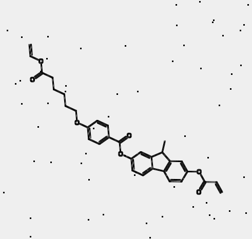 C=COC(=O)CCCCCOc1ccc(C(=O)Oc2ccc3c(c2)C(C)c2cc(OC(=O)C=C)ccc2-3)cc1